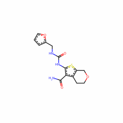 NC(=O)c1c(NC(=O)NCc2ccco2)sc2c1CCOC2